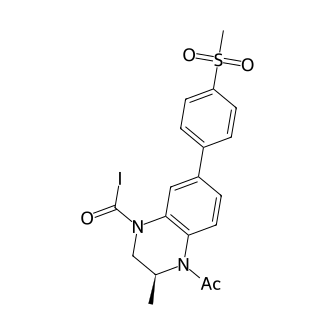 CC(=O)N1c2ccc(-c3ccc(S(C)(=O)=O)cc3)cc2N(C(=O)I)C[C@@H]1C